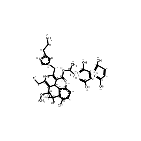 COC(=O)C1=C(CF)NC(Cn2cnc(CCN)c2)=C(C(=O)OC(C)C)C1c1c(F)ccc(Cl)c1C(F)(F)F.O=C(O)/C=C\C(=O)O.O=C(O)/C=C\C(=O)O